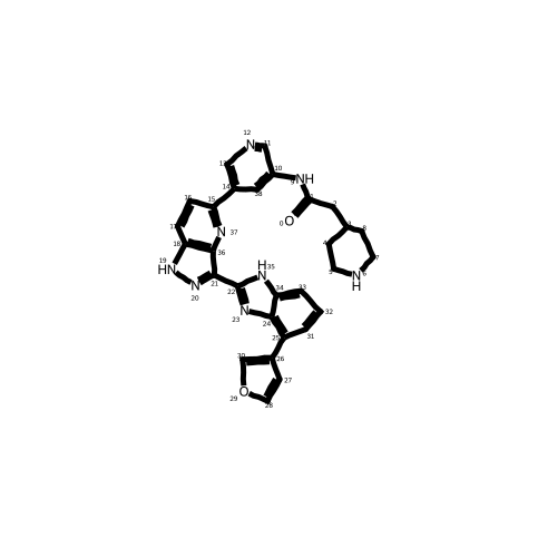 O=C(CC1CCNCC1)Nc1cncc(-c2ccc3[nH]nc(-c4nc5c(-c6ccoc6)cccc5[nH]4)c3n2)c1